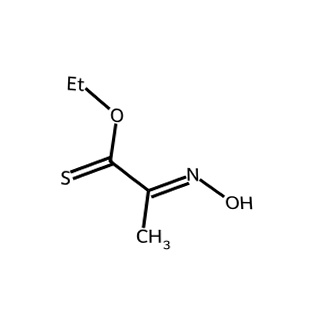 CCOC(=S)C(C)=NO